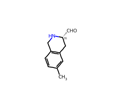 Cc1ccc2c(c1)C[C@@H](C=O)NC2